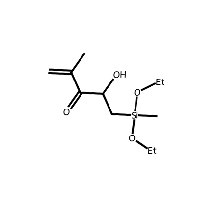 C=C(C)C(=O)C(O)C[Si](C)(OCC)OCC